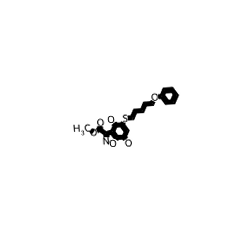 COC(=O)c1noc2c1C(=O)C(SCCCCCOc1ccccc1)=CC2=O